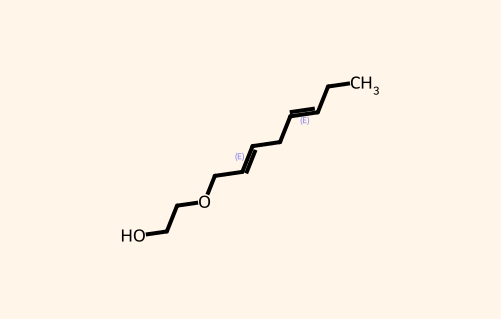 CC/C=C/C/C=C/COCCO